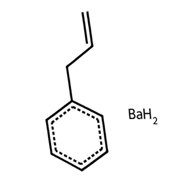 C=CCc1ccccc1.[BaH2]